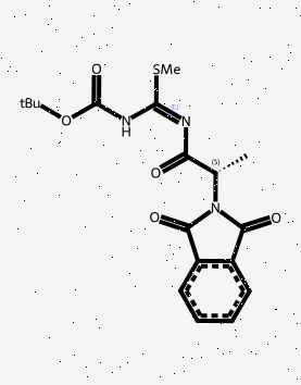 CS/C(=N/C(=O)[C@H](C)N1C(=O)c2ccccc2C1=O)NC(=O)OC(C)(C)C